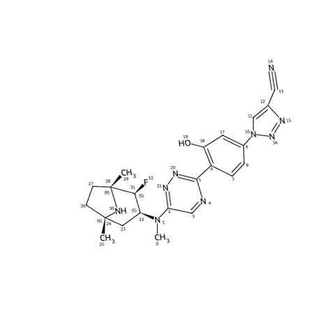 CN(c1cnc(-c2ccc(-n3cc(C#N)nn3)cc2O)nn1)[C@H]1C[C@]2(C)CC[C@@](C)(N2)[C@H]1F